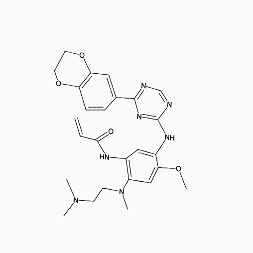 C=CC(=O)Nc1cc(Nc2ncnc(-c3ccc4c(c3)OCCO4)n2)c(OC)cc1N(C)CCN(C)C